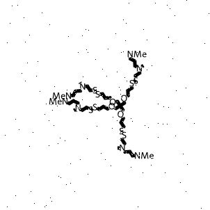 CNCCCN(C)CCSSCCCOCC(COCCCSSCCN(C)CCCNC)(COCCCSSCCN(C)CCCNC)COCCCSSCCN(C)CCCNC